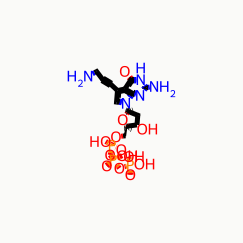 NCC#Cc1cn([C@H]2CC(O)[C@@H](COP(=O)(O)OP(=O)(O)OP(=O)(O)O)O2)c2nc(N)[nH]c(=O)c12